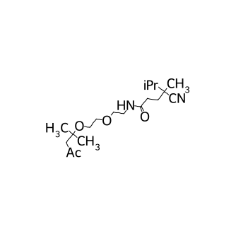 CC(=O)CC(C)(C)OCCOCCNC(=O)CCC(C)(C#N)C(C)C